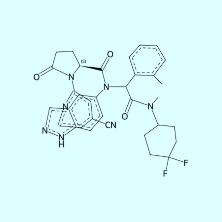 Cc1ccccc1C(C(=O)N(C)C1CCC(F)(F)CC1)N(C(=O)[C@@H]1CCC(=O)N1c1cc(C#N)ccn1)c1ccc2[nH]ncc2c1